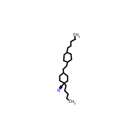 CCCCCC1CCC(CCC2CCC(C#N)(CCCCC)CC2)CC1